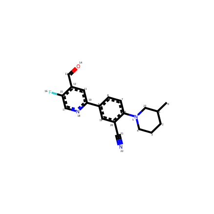 CC1CCCN(c2ccc(-c3cc(C=O)c(F)cn3)cc2C#N)C1